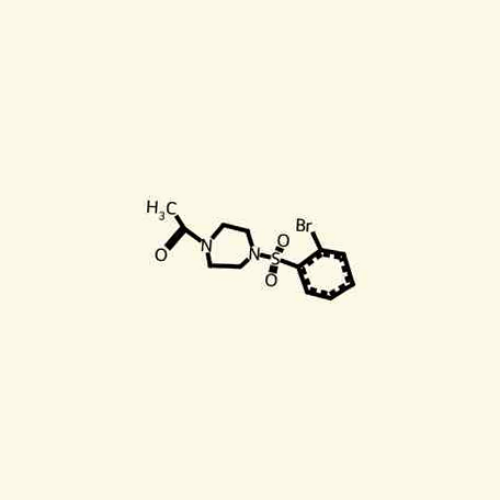 CC(=O)N1CCN(S(=O)(=O)c2ccccc2Br)CC1